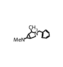 CNC1C2CN(Cc3ccccc3)C(C)C21